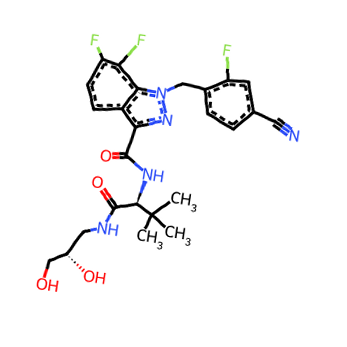 CC(C)(C)[C@H](NC(=O)c1nn(Cc2ccc(C#N)cc2F)c2c(F)c(F)ccc12)C(=O)NC[C@H](O)CO